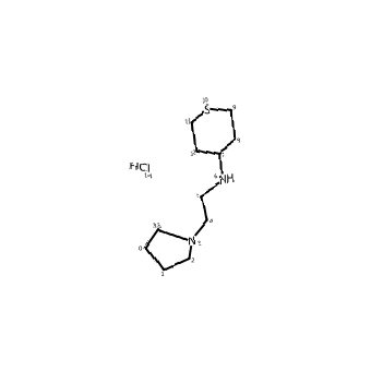 C1CCN(CCNC2CCSCC2)C1.Cl